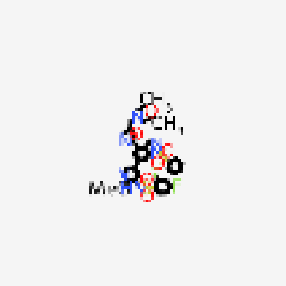 COc1ncc(-c2cc(-c3ncc(CN4CC(C)OC(C)C4)o3)c3cnn(S(=O)(=O)c4ccccc4)c3c2)cc1NS(=O)(=O)c1ccc(F)cc1F